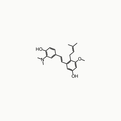 COc1cc(O)cc(C=Cc2ccc(O)c(N(C)C)c2)c1CC=C(C)C